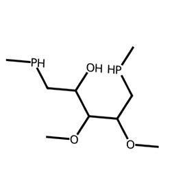 COC(CPC)C(OC)C(O)CPC